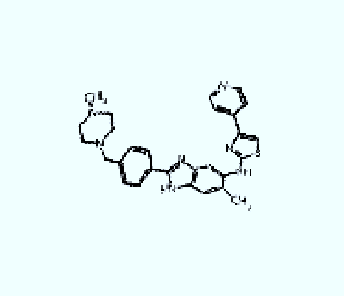 Cc1cc2[nH]c(-c3ccc(CN4CCN(C)CC4)cc3)nc2cc1Nc1nc(-c2ccncc2)cs1